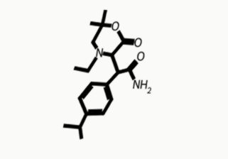 CCN1CC(C)(C)OC(=O)C1C(C(N)=O)c1ccc(C(C)C)cc1